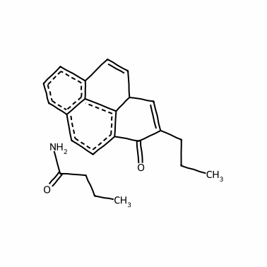 CCCC(N)=O.CCCC1=CC2C=Cc3cccc4ccc(c2c34)C1=O